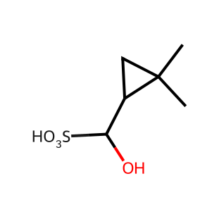 CC1(C)CC1C(O)S(=O)(=O)O